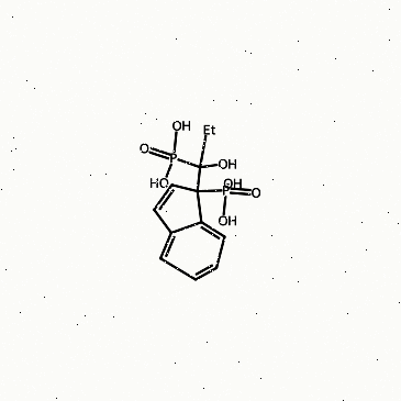 CCC(O)(C1(P(=O)(O)O)C=Cc2ccccc21)P(=O)(O)O